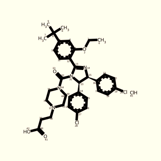 CCOc1cc(C(C)(C)C)ccc1C1=N[C@@H](c2ccc(Cl)cc2)[C@@H](c2ccc(Cl)cc2)N1C(=O)N1CCN(CCC(=O)O)CC1.Cl